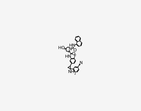 N#Cc1cccc(C2(N)CC2c2ccc(F)c(NC(=O)[C@H]3C[C@@H](O)CN3C(=O)Nc3cccc4ccccc34)c2)c1